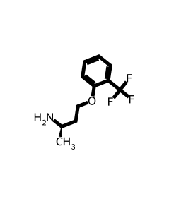 C[C@@H](N)CCOc1ccccc1C(F)(F)F